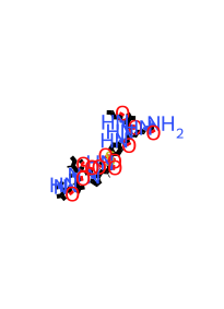 CCCC(=O)NC(C(=O)N[C@@H](CCCNC(N)=O)C(=O)Nc1ccc(S(=O)(=O)NC(=O)[C@H](C)[C@@H](OC)[C@@H]2CCCN2C(=O)C[C@@H](OC)C([C@@H](C)CC)N(C)C(=O)[C@@H](NC(=O)C(C(C)C)N(C)C)C(C)C)cc1)C(C)C